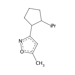 Cc1cc(C2CCCC2C(C)C)no1